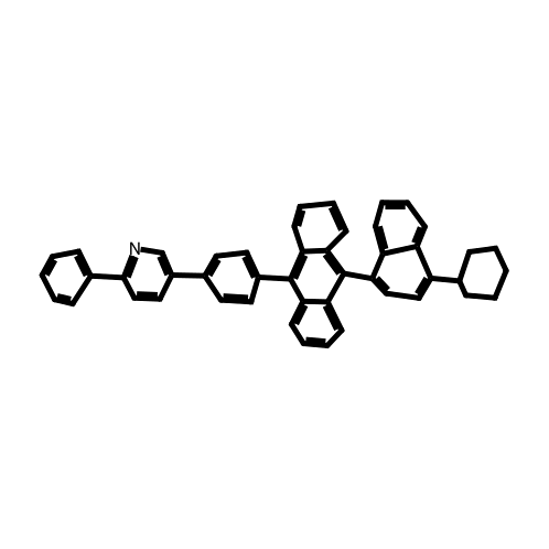 c1ccc(-c2ccc(-c3ccc(-c4c5ccccc5c(-c5ccc(C6CCCCC6)c6ccccc56)c5ccccc45)cc3)cn2)cc1